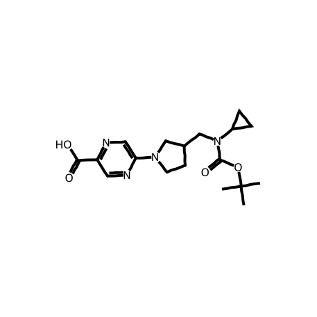 CC(C)(C)OC(=O)N(CC1CCN(c2cnc(C(=O)O)cn2)C1)C1CC1